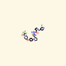 O=C(Nc1nc([C@H]2CCCN2c2ccc(OC3CCN(C(=O)C(F)(F)F)CC3)cc2)cs1)c1cccn1Cc1ccnc(F)c1